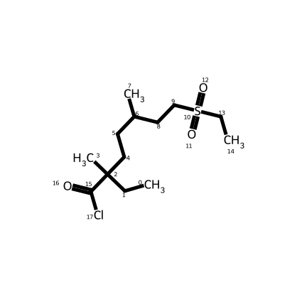 CCC(C)(CCC(C)CCS(=O)(=O)CC)C(=O)Cl